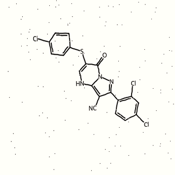 N#Cc1c(-c2ccc(Cl)cc2Cl)nn2c(=O)c(Sc3ccc(Cl)cc3)c[nH]c12